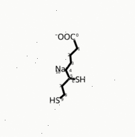 O=C([O-])CCCCC(S)CCS.[Na+]